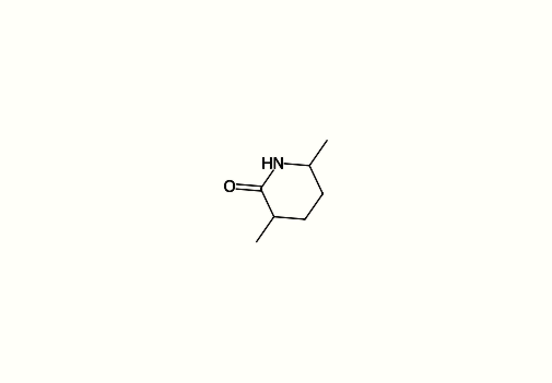 CC1CCC(C)C(=O)N1